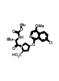 COc1cnc(O[C@@H]2C[C@@H](C(=O)O)N(C(=O)[C@@H](NC(=O)OC(C)(C)C)C(C)(C)C)C2)c2cc(Cl)ccc12